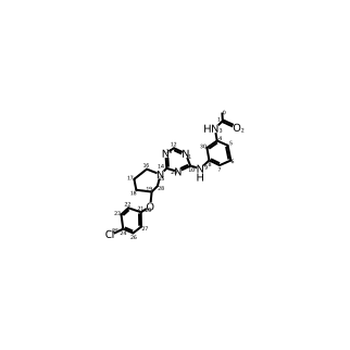 CC(=O)Nc1cccc(Nc2ncnc(N3CCCC(Oc4ccc(Cl)cc4)C3)n2)c1